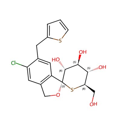 OC[C@H]1S[C@]2(OCc3cc(Cl)c(Cc4cccs4)cc32)[C@H](O)[C@@H](O)[C@@H]1O